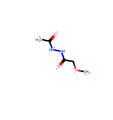 COCC(=O)NNC(C)=O